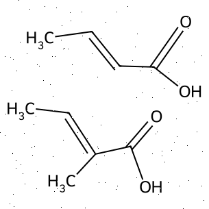 C/C=C(\C)C(=O)O.C/C=C/C(=O)O